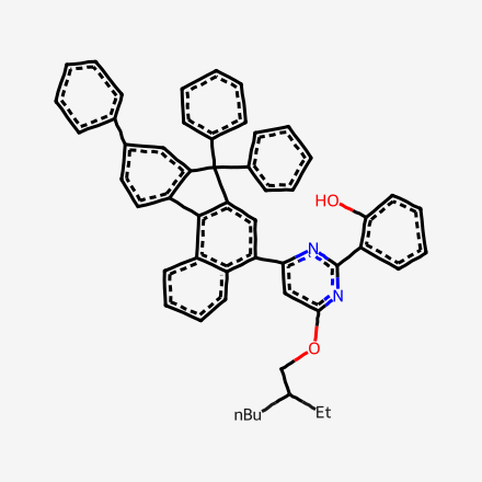 CCCCC(CC)COc1cc(-c2cc3c(c4ccccc24)-c2ccc(-c4ccccc4)cc2C3(c2ccccc2)c2ccccc2)nc(-c2ccccc2O)n1